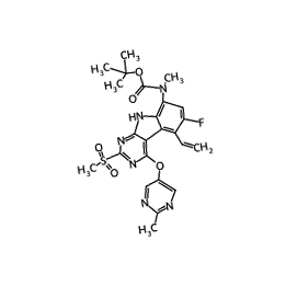 C=Cc1c(F)cc(N(C)C(=O)OC(C)(C)C)c2[nH]c3nc(S(C)(=O)=O)nc(Oc4cnc(C)nc4)c3c12